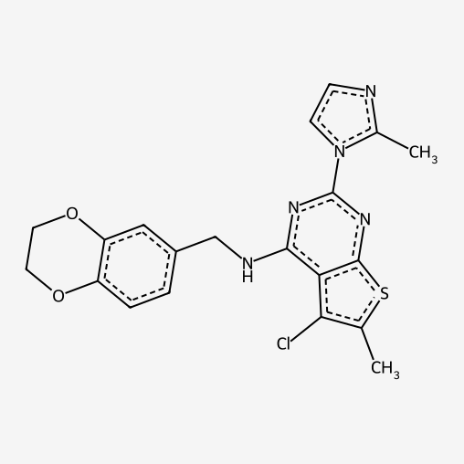 Cc1sc2nc(-n3ccnc3C)nc(NCc3ccc4c(c3)OCCO4)c2c1Cl